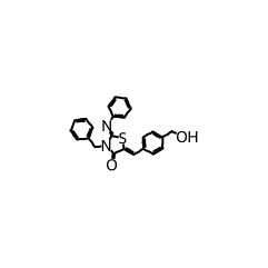 O=C1C(=Cc2ccc(CO)cc2)SC(=Nc2ccccc2)N1Cc1ccccc1